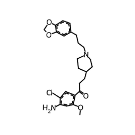 COc1cc(N)c(Cl)cc1C(=O)CCC1CCN(CCCc2ccc3c(c2)OCO3)CC1